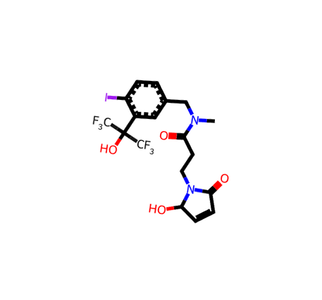 CN(Cc1ccc(I)c(C(O)(C(F)(F)F)C(F)(F)F)c1)C(=O)CCN1C(=O)C=CC1O